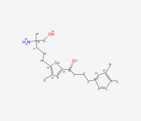 Cc1ccc(CCCC(=O)c2cc(C)c(CCCC(C)(N)CO)s2)cc1C